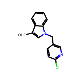 O=Cc1cn(Cc2ccc(Cl)nc2)c2ccccc12